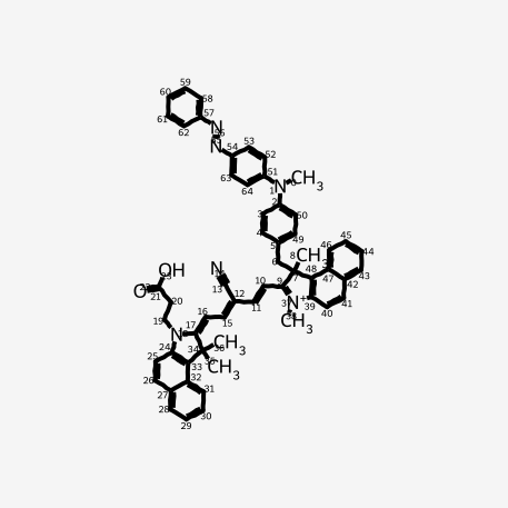 CN(c1ccc(CC2(C)C(/C=C/C(C#N)=C/C=C3/N(CCC(=O)O)c4ccc5ccccc5c4C3(C)C)=[N+](C)c3ccc4ccccc4c32)cc1)c1ccc(/N=N/c2ccccc2)cc1